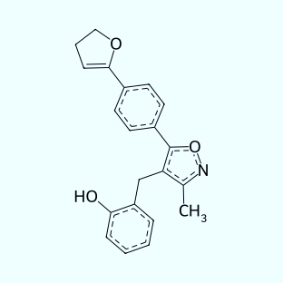 Cc1noc(-c2ccc(C3=CCCO3)cc2)c1Cc1ccccc1O